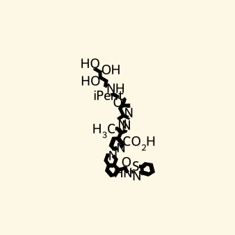 CCCC(C)CC1(OCCNCC[C@H](O)[C@H](O)CO)CN2CC2(Cn2ncc(-c3ccc(N4CCc5cccc(C(=O)Nc6nc7ccccc7s6)c5C4)nc3C(=O)O)c2C)C1